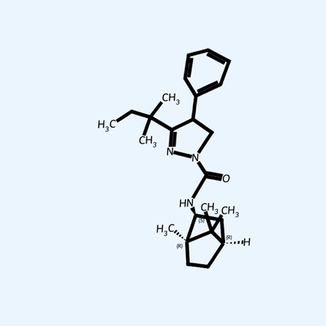 CCC(C)(C)C1=NN(C(=O)N[C@H]2C[C@H]3CC[C@]2(C)C3(C)C)CC1c1ccccc1